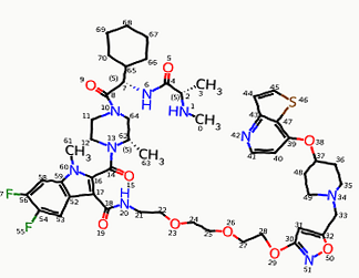 CN[C@@H](C)C(=O)N[C@H](C(=O)N1CCN(C(=O)c2c(C(=O)NCCOCCOCCOc3cc(CN4CCC(Oc5ccnc6ccsc56)CC4)on3)c3cc(F)c(F)cc3n2C)[C@@H](C)C1)C1CCCCC1